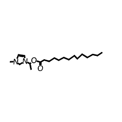 CCCCCCCCCCCCCC(=O)OC(C)N1C=CN(C)C1